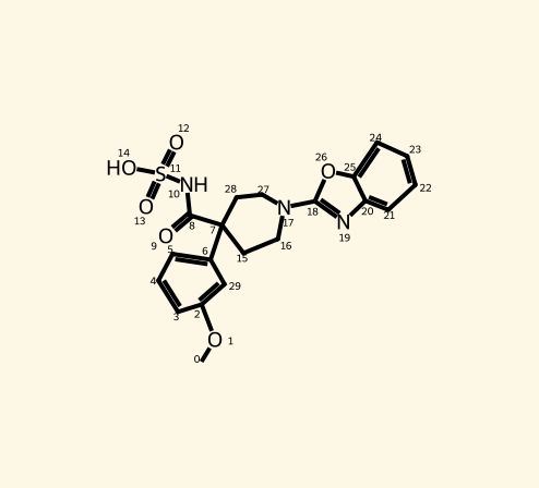 COc1cccc(C2(C(=O)NS(=O)(=O)O)CCN(c3nc4ccccc4o3)CC2)c1